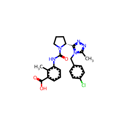 Cc1c(NC(=O)N2CCC[C@@H]2c2nnc(C)n2Cc2ccc(Cl)cc2)cccc1C(=O)O